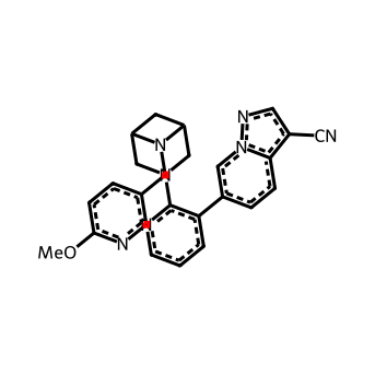 COc1ccc(CN2C3CC2CN(c2ncccc2-c2ccc4c(C#N)cnn4c2)C3)cn1